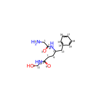 NCC(=O)NC(CCC(=O)NCO)Cc1ccccc1